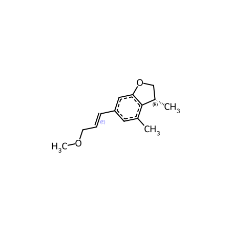 COC/C=C/c1cc(C)c2c(c1)OC[C@@H]2C